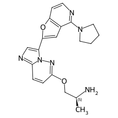 C[C@H](N)COc1ccc2ncc(-c3cc4c(N5CCCC5)nccc4o3)n2n1